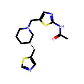 CC(=O)Nc1ncc(CN2CCC[C@@H](Cc3cncs3)C2)s1